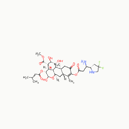 COC(=O)[C@@]12OC[C@]34C([C@@H](O)[C@@H]1O)[C@@]1(C)CC(=O)C(OC(=O)C[C@@H](N)[C@@H]5CC(F)(F)CN5)=C(C)[C@@H]1C[C@H]3OC(O)[C@H](OC(=O)C=C(C)C)[C@@H]24